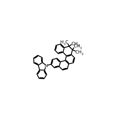 CC1(C)c2ccccc2-c2c(ccc3ccc4cc(-n5c6ccccc6c6ccccc65)ccc4c23)C1(C)C